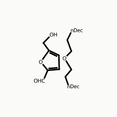 CCCCCCCCCCCCOCCCCCCCCCCCC.O=Cc1ccc(CO)o1